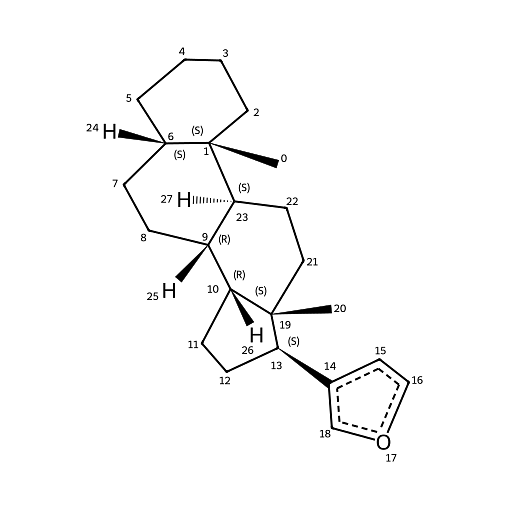 C[C@]12CCCC[C@H]1CC[C@H]1[C@H]3CC[C@H](c4ccoc4)[C@@]3(C)CC[C@@H]12